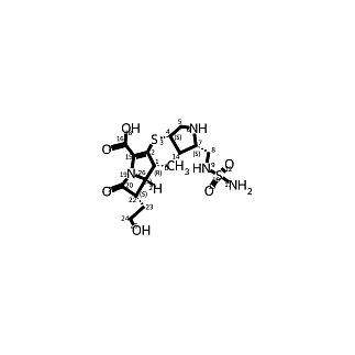 C[C@H]1C(S[C@@H]2CN[C@H](CNS(N)(=O)=O)C2)=C(C(=O)O)N2C(=O)[C@@H](CCO)[C@@H]12